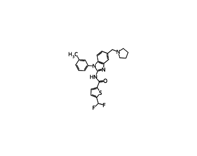 Cc1cccc(-n2c(NC(=O)c3ccc(C(F)F)s3)nc3cc(CN4CCCC4)ccc32)c1